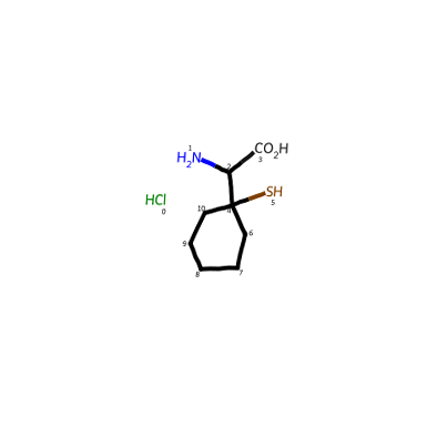 Cl.NC(C(=O)O)C1(S)CCCCC1